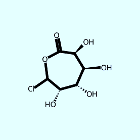 O=C1OC(Cl)[C@@H](O)[C@@H](O)[C@H](O)[C@@H]1O